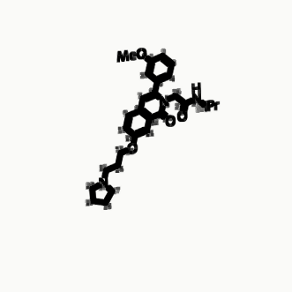 COc1cccc(-c2cc3ccc(OCCCN4CCCC4)cc3c(=O)n2CC(=O)NC(C)C)c1